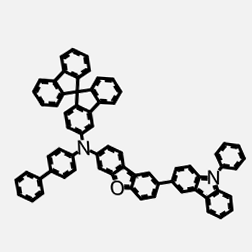 c1ccc(-c2ccc(N(c3ccc4c(c3)-c3ccccc3C43c4ccccc4-c4ccccc43)c3ccc4c(c3)oc3ccc(-c5ccc6c(c5)c5ccccc5n6-c5ccccc5)cc34)cc2)cc1